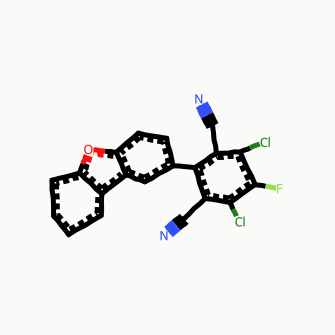 N#Cc1c(Cl)c(F)c(Cl)c(C#N)c1-c1ccc2oc3ccccc3c2c1